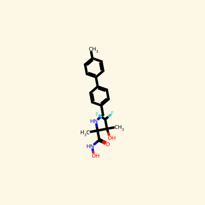 Cc1ccc(-c2ccc(CNC(C)(C(=O)NO)C(C)(O)C(F)F)cc2)cc1